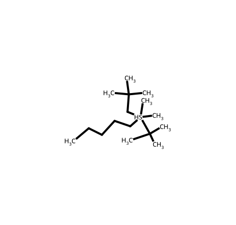 CCCCC[SH](C)(C)(CC(C)(C)C)C(C)(C)C